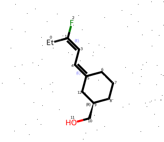 CC/C(F)=C\C=C1/CCC[C@@H](CO)C1